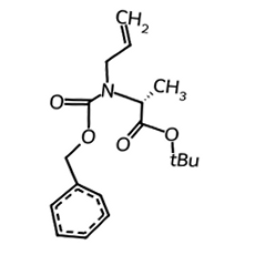 C=CCN(C(=O)OCc1ccccc1)[C@H](C)C(=O)OC(C)(C)C